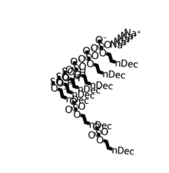 CCCCCCCCCCCCOS(=O)(=O)O.CCCCCCCCCCCCOS(=O)(=O)O.CCCCCCCCCCCCOS(=O)(=O)O.CCCCCCCCCCCCOS(=O)(=O)[O-].CCCCCCCCCCCCOS(=O)(=O)[O-].CCCCCCCCCCCCOS(=O)(=O)[O-].CCCCCCCCCCCCOS(=O)(=O)[O-].CCCCCCCCCCCCOS(=O)(=O)[O-].[Na+].[Na+].[Na+].[Na+].[Na+]